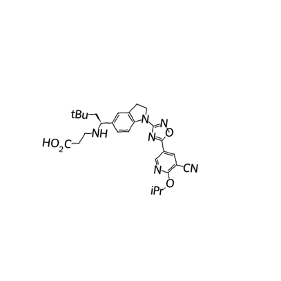 CC(C)Oc1ncc(-c2nc(N3CCc4cc([C@H](CC(C)(C)C)NCCC(=O)O)ccc43)no2)cc1C#N